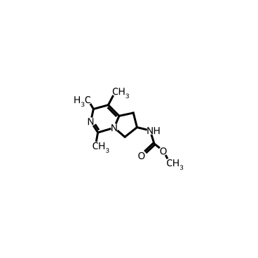 COC(=O)NC1CC2=C(C)C(C)N=C(C)N2C1